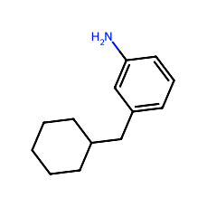 Nc1cccc(CC2CCCCC2)c1